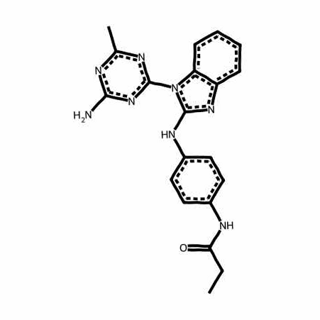 CCC(=O)Nc1ccc(Nc2nc3ccccc3n2-c2nc(C)nc(N)n2)cc1